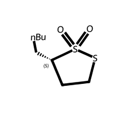 CCCCC[C@H]1CCSS1(=O)=O